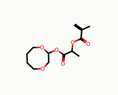 C=C(C)C(=O)OC(C)C(=O)OC1COCCCCO1